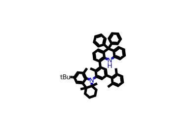 Cc1cccc(C)c1-c1cc(-c2cccc3c2Nc2ccccc2C3(c2ccccc2)c2ccccc2)c(C)c(N2c3c(C)cc(C(C)(C)C)cc3C3(C)CCCCC23C)c1